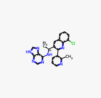 Cc1ncccc1-c1nc2c(Cl)cccc2cc1[C@H](C)Nc1ncnc2[nH]cnc12